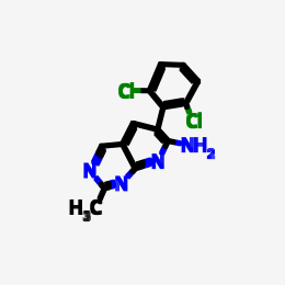 Cc1ncc2cc(-c3c(Cl)cccc3Cl)c(N)nc2n1